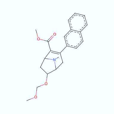 COCOC1CC2C(C(=O)OC)=C(c3ccc4ccccc4c3)CC1N2C